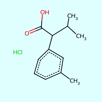 Cc1cccc(C(C(=O)O)C(C)C)c1.Cl